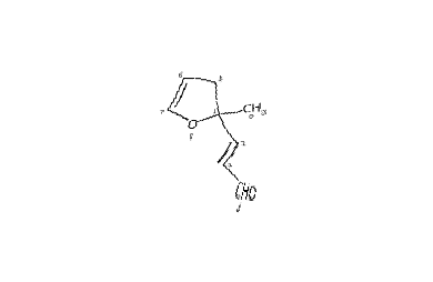 CC1(C=CC=O)CC=CO1